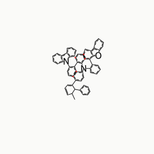 CC1C=CC=C(c2ccc(N(c3ccccc3-c3ccccc3-n3c4ccccc4c4ccccc43)c3ccccc3-c3cccc4c3oc3ccccc34)cc2)C1c1ccccc1